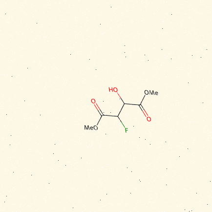 COC(=O)C(O)C(F)C(=O)OC